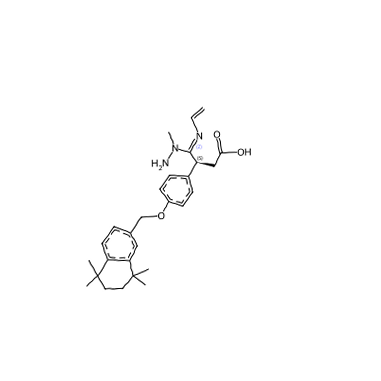 C=C/N=C(/[C@@H](CC(=O)O)c1ccc(OCc2ccc3c(c2)C(C)(C)CCC3(C)C)cc1)N(C)N